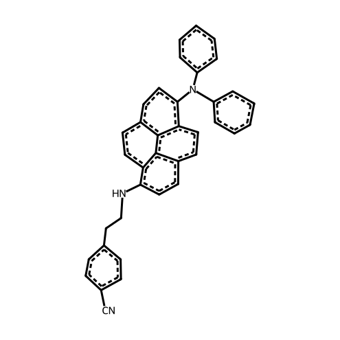 N#Cc1ccc(CCNc2ccc3ccc4c(N(c5ccccc5)c5ccccc5)ccc5ccc2c3c54)cc1